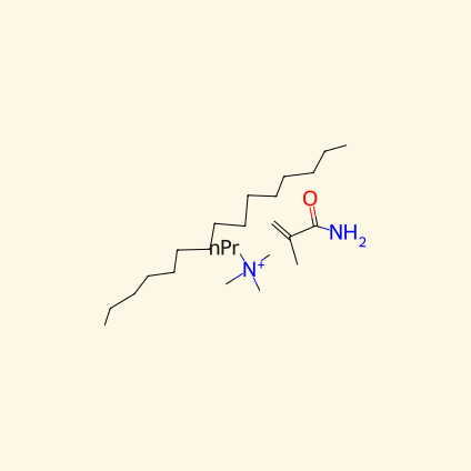 C=C(C)C(N)=O.CCCCCCCCCCCCCCC.CCC[N+](C)(C)C